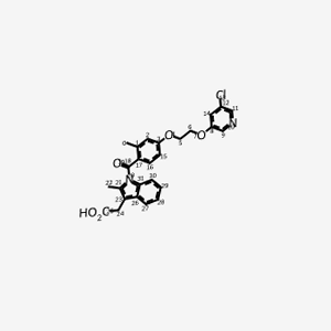 Cc1cc(OCCOc2cncc(Cl)c2)ccc1C(=O)n1c(C)c(CC(=O)O)c2ccccc21